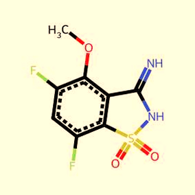 COc1c(F)cc(F)c2c1C(=N)NS2(=O)=O